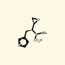 CC(C)(C)N(C(=O)O)[C@@H](Cc1ccsc1)[C@H]1CO1